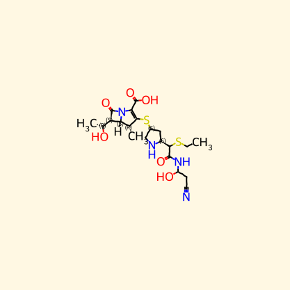 CCSC(C(=O)NC(O)CC#N)[C@@H]1C[C@H](SC2=C(C(=O)O)N3C(=O)[C@H]([C@@H](C)O)[C@H]3[C@H]2C)CN1